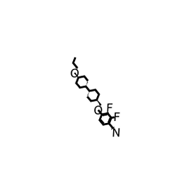 CCCO[C@H]1CC[C@H]([C@H]2CC[C@H](COc3ccc(C#N)c(F)c3F)CC2)CC1